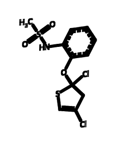 CS(=O)(=O)Nc1ccccc1OC1(Cl)CC(Cl)=CS1